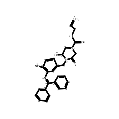 C=CCOC(=O)N1CC(=O)N(Cc2ccc(C#N)c(N=C(c3ccccc3)c3ccccc3)c2)C(C(C)C)C1